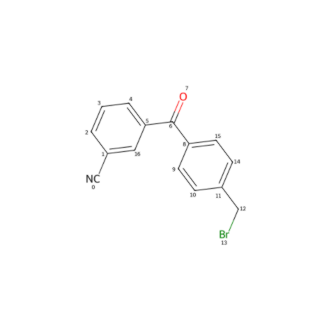 N#Cc1cccc(C(=O)c2ccc(CBr)cc2)c1